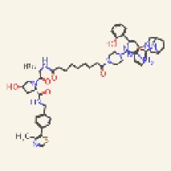 Cc1ncsc1-c1ccc(CNC(=O)[C@@H]2C[C@@H](O)CN2C(=O)[C@@H](NC(=O)CCCCCCCC(=O)N2CCN(Cc3cccc(N4CC5CCC4CN(c4cc(-c6ccccc6O)nnc4N)C5)c3)CC2)C(C)(C)C)cc1